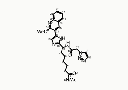 CNC(=O)CCCCC[C@H](NC(=O)Cn1ccnn1)c1ncc(-c2cc3ccccc3nc2OC)[nH]1